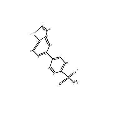 NS(=O)(=O)c1ccc(-c2ccc3scnc3c2)cc1